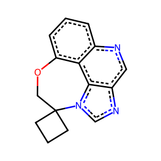 c1cc2c3c(c1)ncc1ncn(c13)C1(CCC1)CO2